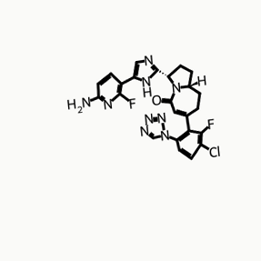 Nc1ccc(-c2cnc([C@@H]3CC[C@@H]4CCC(c5c(-n6cnnn6)ccc(Cl)c5F)=CC(=O)N43)[nH]2)c(F)n1